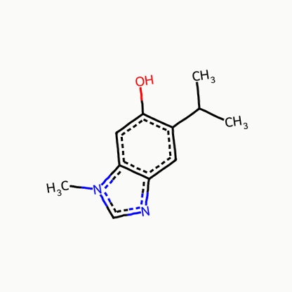 CC(C)c1cc2ncn(C)c2cc1O